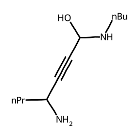 CCCCNC(O)C#CC(N)CCC